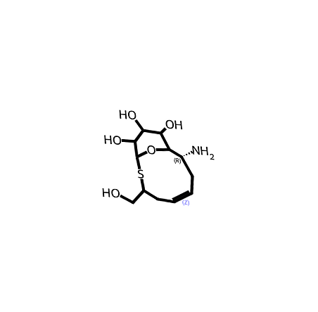 N[C@@H]1C/C=C\CC(CO)SC2OC1C(O)C(O)C2O